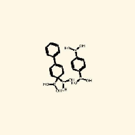 OB(O)C1(B(O)O)C=CC(c2ccccc2)=CC1.OB(O)c1ccc(B(O)O)cc1